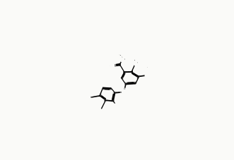 Cc1cc(Oc2ccc(Cl)c(C)c2Cl)cc(C(=O)NO)c1[N+](=O)[O-]